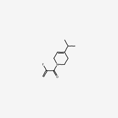 C=C(F)C(=O)N1CC=C(C(C)C)CC1